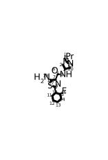 CC(C)n1cc(NC(=O)c2nc(-c3ccccc3F)sc2N)cn1